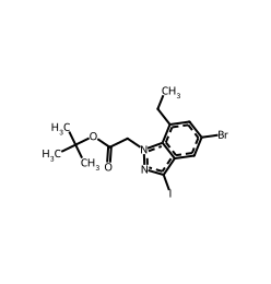 CCc1cc(Br)cc2c(I)nn(CC(=O)OC(C)(C)C)c12